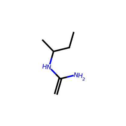 C=C(N)NC(C)CC